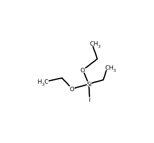 CCO[Si](I)(CC)OCC